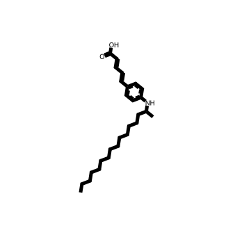 CCCCCCCCCCCCCCC(C)Nc1ccc(C=CC=CC(=O)O)cc1